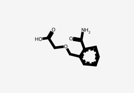 NC(=O)c1ccccc1COCC(=O)O